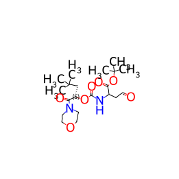 CC(C)(C)C[C@H](OC(=O)NC(CC=O)C(=O)OC(C)(C)C)C(=O)N1CCOCC1